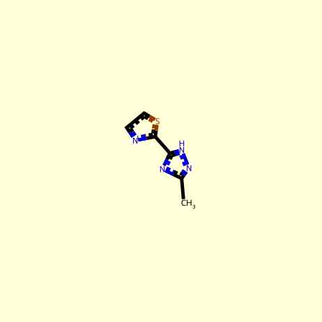 Cc1n[nH]c(-c2nccs2)n1